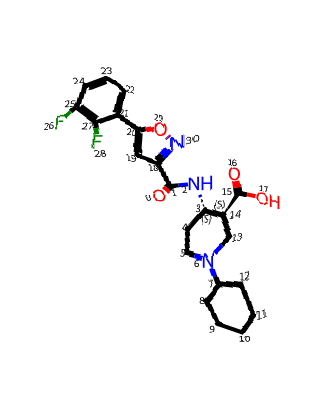 O=C(N[C@H]1CCN(C2CCCCC2)C[C@@H]1C(=O)O)c1cc(-c2cccc(F)c2F)on1